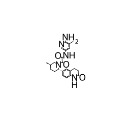 Cc1cc(NC(=O)C(=O)N2C[C@H](C)CC[C@H]2c2ccc3c(c2)CCC(=O)N3)cnc1N